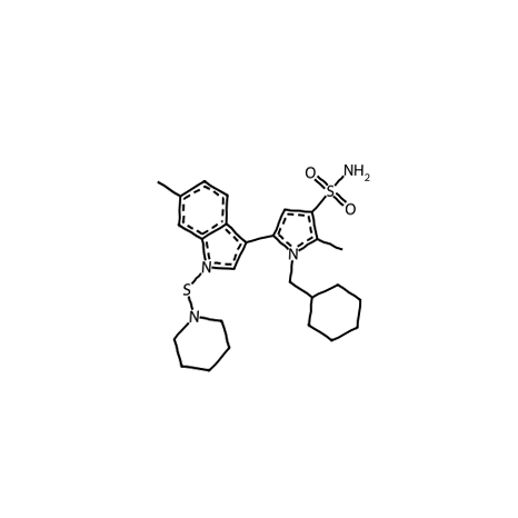 Cc1ccc2c(-c3cc(S(N)(=O)=O)c(C)n3CC3CCCCC3)cn(SN3CCCCC3)c2c1